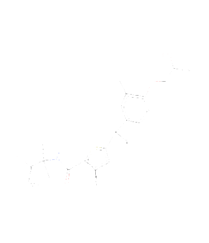 CCC(CC)(c1ccc(OCC(O)C(C)(C)C)c(C)c1)c1cc(C)c(C(=O)NC(C)(C)C(=O)OC)s1